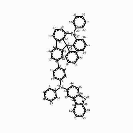 c1ccc(N(c2ccc(-c3ccc4c(c3)C3(c5ccccc5)c5ccccc5N(c5ccccc5)c5cccc-4c53)cc2)c2ccc3sc4ccccc4c3c2)cc1